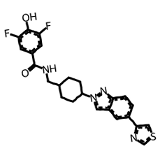 O=C(NCC1CCC(n2cc3cc(-c4cscn4)ccc3n2)CC1)c1cc(F)c(O)c(F)c1